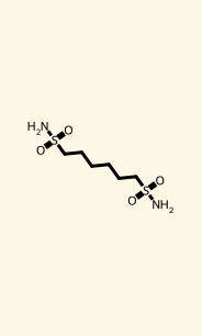 NS(=O)(=O)CCCCCCS(N)(=O)=O